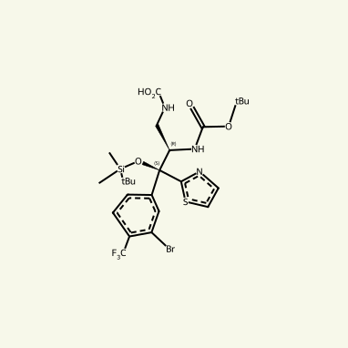 CC(C)(C)OC(=O)N[C@H](CNC(=O)O)[C@@](O[Si](C)(C)C(C)(C)C)(c1ccc(C(F)(F)F)c(Br)c1)c1nccs1